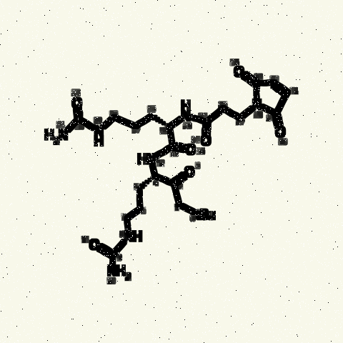 CC(C)(C)CC(=O)[C@H](CCCNC(N)=O)NC(=O)[C@H](CCCNC(N)=O)NC(=O)CCN1C(=O)C=CC1=O